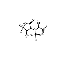 CC(=O)C(O)C(C1C(=O)OC(C)(C)C1O)C(C)(C)C